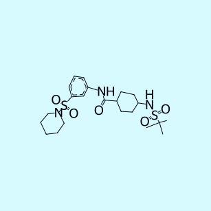 CC(C)(C)S(=O)(=O)NC1CCC(C(=O)Nc2cccc(S(=O)(=O)N3CCCCC3)c2)CC1